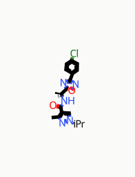 Cc1nn(C(C)C)cc1C(=O)N[C@@H](C)c1nc(-c2ccc(Cl)cc2)no1